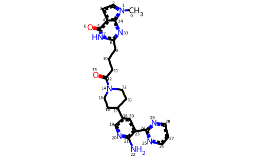 Cn1ccc2c(=O)[nH]c(CCCC(=O)N3CCC(c4cnc(N)c(-c5ncccn5)c4)CC3)nc21